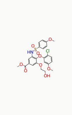 COC(=O)c1cc(NS(=O)(=O)c2ccc(OC)cc2)c(Oc2cc(OC)ccc2Cl)c(OCCO)c1